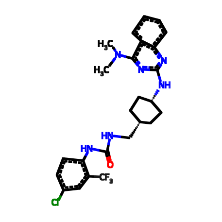 CN(C)c1nc(N[C@H]2CC[C@@H](CNC(=O)Nc3ccc(Cl)cc3C(F)(F)F)CC2)nc2ccccc12